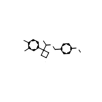 COc1ccc(CNC(C)C2(c3ccc(Cl)c(Cl)c3)CCC2)cc1.Cl